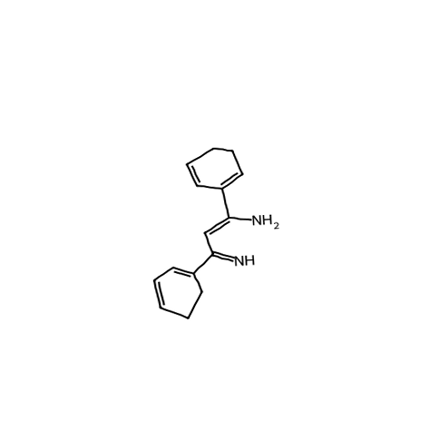 N=C(/C=C(\N)C1=CCCC=C1)C1=CC=CCC1